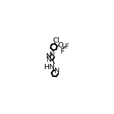 FC(F)Oc1cc(-n2cc(CNc3ccccn3)nn2)ccc1Cl